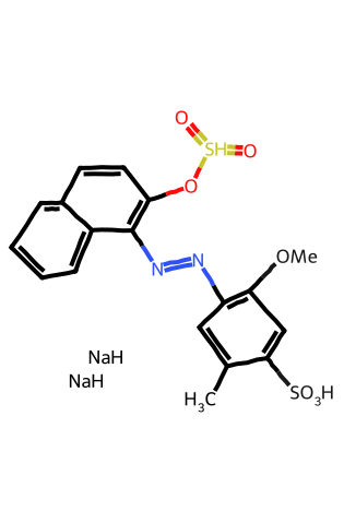 COc1cc(S(=O)(=O)O)c(C)cc1N=Nc1c(O[SH](=O)=O)ccc2ccccc12.[NaH].[NaH]